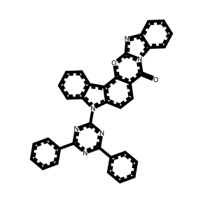 O=c1c2ccc3c(c4ccccc4n3-c3nc(-c4ccccc4)nc(-c4ccccc4)n3)c2oc2nc3ccccc3n12